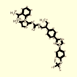 C=C1CS/C(=N\C(=O)NCC(CC)c2ccc(-c3ncn(-c4ccc(OC(F)(F)F)cc4)n3)cc2)N1c1ccccc1C(C)C